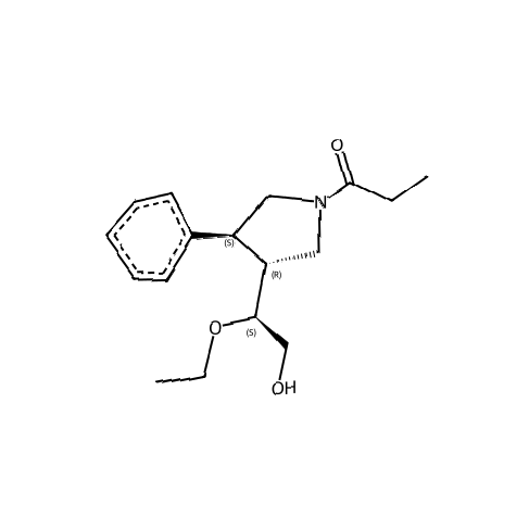 CCO[C@H](CO)[C@H]1CN(C(=O)CC)C[C@@H]1c1ccccc1